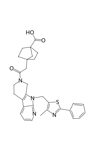 Cc1nc(-c2ccccc2)sc1Cn1c2c(c3cccnc31)CCN(C(=O)CC13CCC(C(=O)O)(CC1)C3)C2